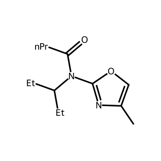 CCCC(=O)N(c1nc(C)co1)C(CC)CC